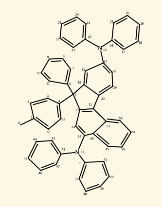 Cc1ccc(C2(c3ccccc3)c3cc(N(c4ccccc4)c4ccccc4)ccc3-c3c2cc(N(c2ccccc2)c2ccccc2)c2ccccc32)cc1